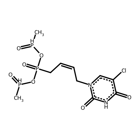 C[PH](=O)OP(=O)(C/C=C\Cn1cc(Cl)c(=O)[nH]c1=O)O[PH](C)=O